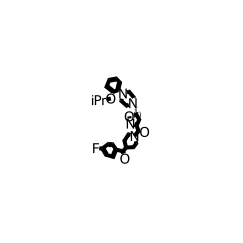 CC(C)Oc1ccccc1N1CCN(C[C@@H]2CC(C(=O)N3CCC(C(=O)c4ccc(F)cc4)CC3)=NO2)CC1